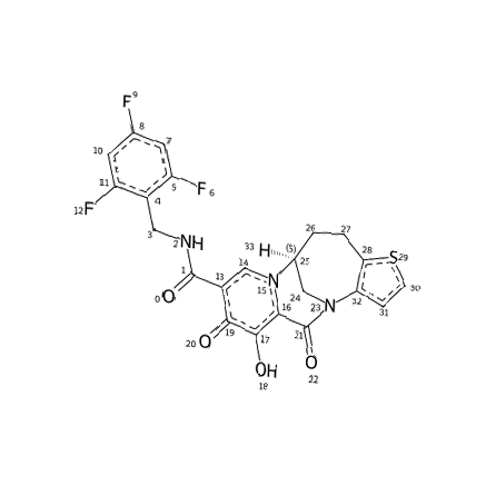 O=C(NCc1c(F)cc(F)cc1F)c1cn2c(c(O)c1=O)C(=O)N1C[C@@H]2CCc2sccc21